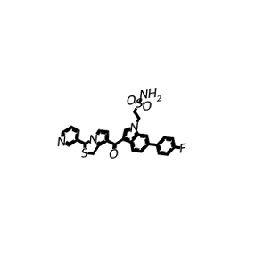 NS(=O)(=O)CCn1cc(C(=O)c2ccn3c2CSC3c2cccnc2)c2ccc(-c3ccc(F)cc3)cc21